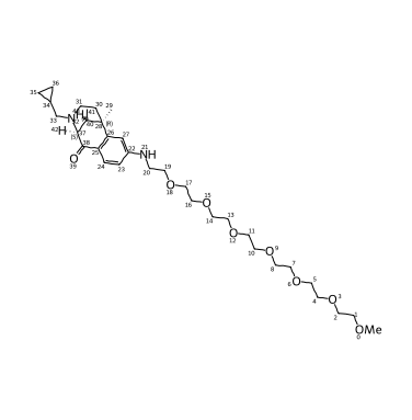 COCCOCCOCCOCCOCCOCCOCCNc1ccc2c(c1)[C@]1(C)CCN(CC3CC3)[C@H](C2=O)[C@@H]1C